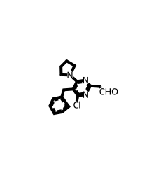 O=CCc1nc(Cl)c(Cc2ccccc2)c(N2CCCC2)n1